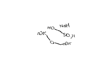 CCCCCCCCCCOCCCCCCCCCC.O=S(=O)(O)O.[NaH]